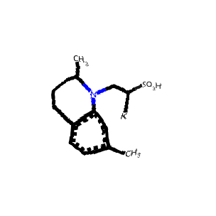 Cc1ccc2c(c1)N(C[CH]([K])S(=O)(=O)O)C(C)CC2